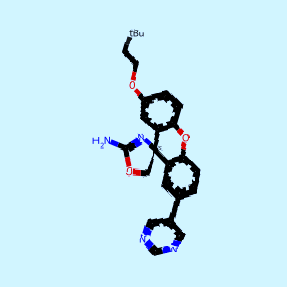 CC(C)(C)CCOc1ccc2c(c1)[C@]1(COC(N)=N1)c1cc(-c3cncnc3)ccc1O2